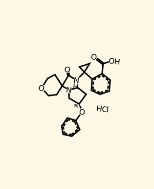 Cl.O=C(O)c1ccccc1C1(NC(=O)C2(N3CC[C@@H](Oc4ccccc4)C3)CCOCC2)CC1